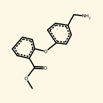 COC(=O)c1ccccc1Oc1ccc(CN)cc1